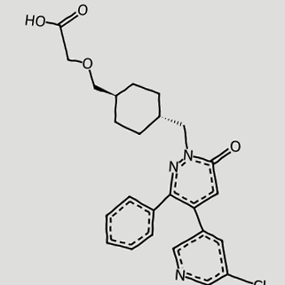 O=C(O)COC[C@H]1CC[C@H](Cn2nc(-c3ccccc3)c(-c3cncc(Cl)c3)cc2=O)CC1